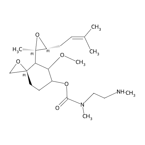 CNCCN(C)C(=O)OC1CC[C@]2(CO2)C([C@@]2(C)O[C@@H]2CC=C(C)C)C1OC